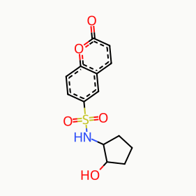 O=c1ccc2cc(S(=O)(=O)NC3CCCC3O)ccc2o1